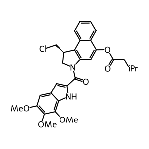 COc1cc2cc(C(=O)N3C[C@@H](CCl)c4c3cc(OC(=O)CC(C)C)c3ccccc43)[nH]c2c(OC)c1OC